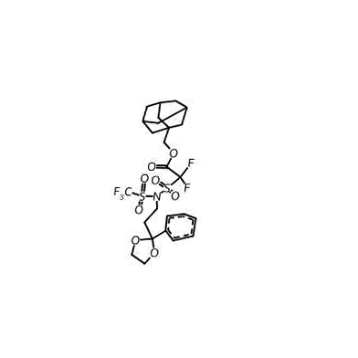 O=C(OCC12CC3CC(CC(C3)C1)C2)C(F)(F)S(=O)(=O)N(CCC1(c2ccccc2)OCCO1)S(=O)(=O)C(F)(F)F